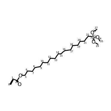 C=CC(=O)OCCCCCCCCCCCCCCCCCC[Si](OC)(OC)OC